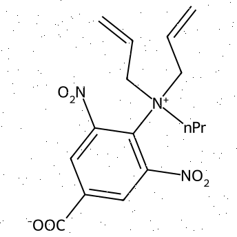 C=CC[N+](CC=C)(CCC)c1c([N+](=O)[O-])cc(C(=O)[O-])cc1[N+](=O)[O-]